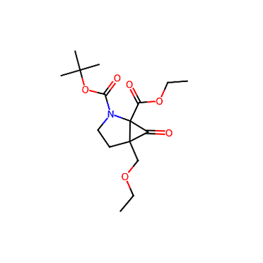 CCOCC12CCN(C(=O)OC(C)(C)C)C1(C(=O)OCC)C2=O